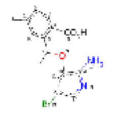 Cc1ccc(C(=O)O)c(C(C)Oc2cc(Br)cnc2N)c1